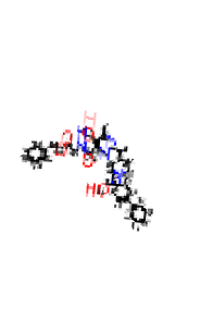 Cc1nc(CC2CCN(C3(CO)C=CC(c4ccccc4)=CC3)CC2)nc(C(=O)NCC(=O)OCc2ccccc2)c1O